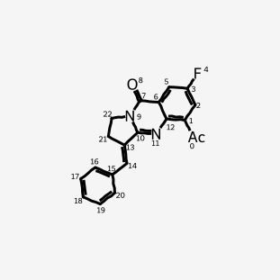 CC(=O)c1cc(F)cc2c(=O)n3c(nc12)C(=Cc1ccccc1)CC3